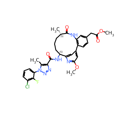 COC(=O)Cc1ccc2c(c1)NC(=O)[C@@H](C)CCC[C@H](NC(=O)c1nnn(-c3cccc(Cl)c3F)c1C)c1cc-2cc(OC)n1